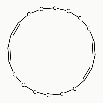 C1=CCCCCCCC=CC=CCCCCCCC=C1